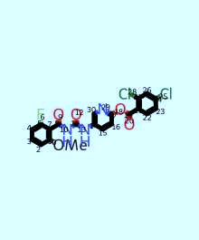 COc1cccc(F)c1C(=O)NC(=O)Nc1ccc(OC(=O)c2ccc(Cl)cc2Cl)nc1